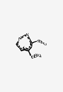 CC(C)(C)c1ccnnc1C(C)(C)C